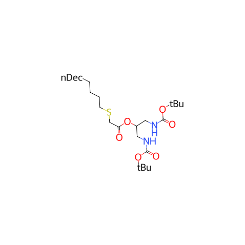 CCCCCCCCCCCCCCSCC(=O)OC(CNC(=O)OC(C)(C)C)CNC(=O)OC(C)(C)C